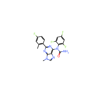 Cc1cc(F)ccc1-c1nc(N(C(N)=O)c2c(F)cc(F)cc2F)c2ncn(C)c2n1